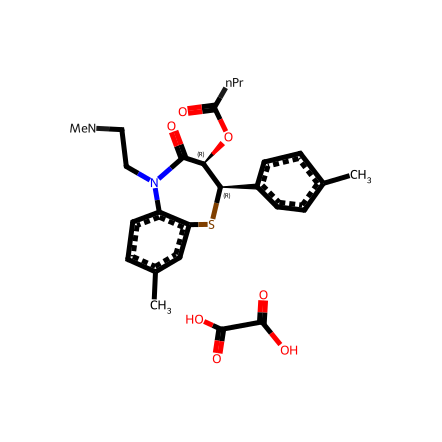 CCCC(=O)O[C@@H]1C(=O)N(CCNC)c2ccc(C)cc2S[C@@H]1c1ccc(C)cc1.O=C(O)C(=O)O